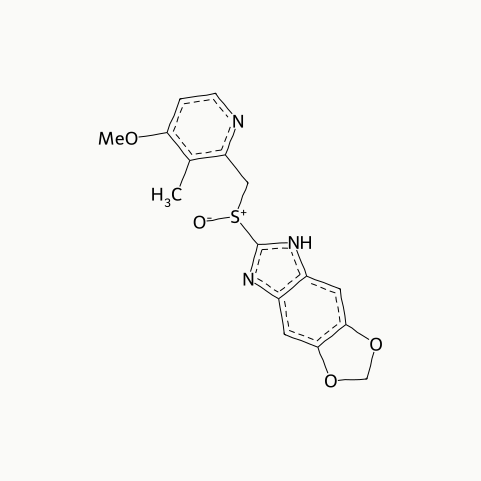 COc1ccnc(C[S+]([O-])c2nc3cc4c(cc3[nH]2)OCO4)c1C